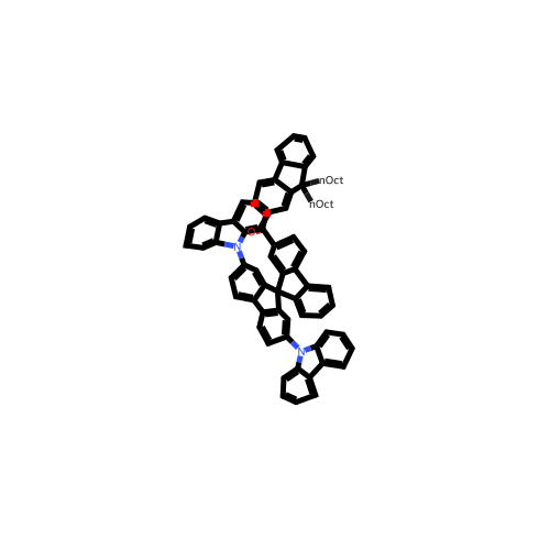 CCCCCCCCC1(CCCCCCCC)c2ccccc2-c2ccc(C(=O)c3ccc4c(c3)C3(c5ccccc5-4)c4cc(-n5c6ccccc6c6ccccc65)ccc4-c4ccc(-n5c6ccccc6c6ccccc65)cc43)cc21